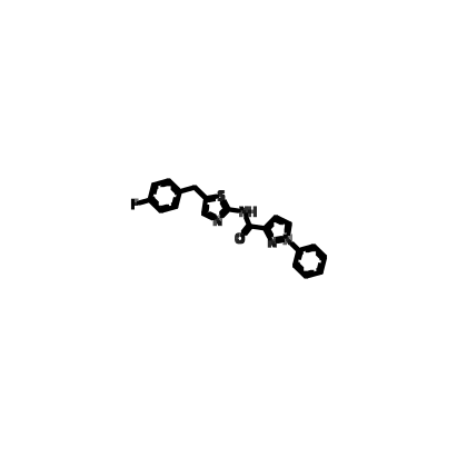 O=C(Nc1ncc(Cc2ccc(F)cc2)s1)c1ccn(-c2ccccc2)n1